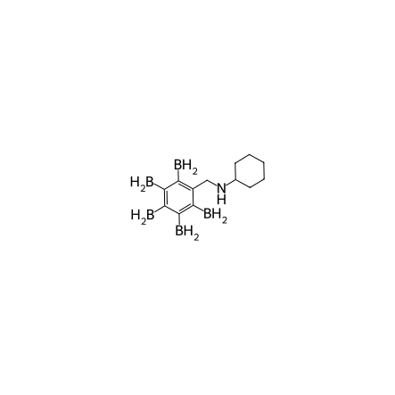 Bc1c(B)c(B)c(CNC2CCCCC2)c(B)c1B